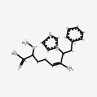 C/C(=C/CCC(ON)C(=O)O)C(Cc1ccccc1)n1ccnc1